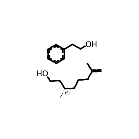 C=C(C)CCC[C@H](C)CCO.OCCc1ccccc1